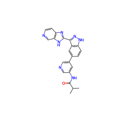 CC(C)C(=O)Nc1cncc(-c2ccc3[nH]nc(-c4nc5ccncc5[nH]4)c3c2)c1